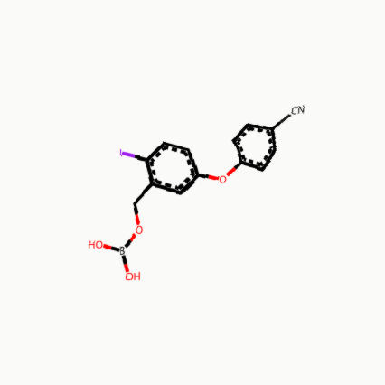 N#Cc1ccc(Oc2ccc(I)c(COB(O)O)c2)cc1